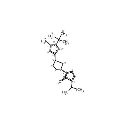 CC(C)n1ccn([C@H]2CC[C@@H](c3cc(N)n(C(C)(C)C)n3)C2)c1=O